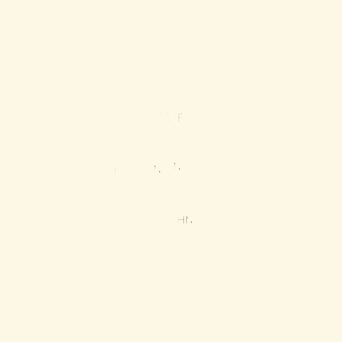 CCOC(=O)c1cn(-c2c(F)cccc2CNC2CC2)nc1C